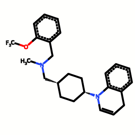 CN(Cc1ccccc1OC(F)(F)F)C[C@H]1CC[C@@H](N2C=CCc3ccccc32)CC1